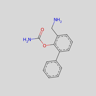 NCc1cccc(-c2ccccc2)c1OC(N)=O